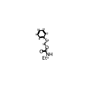 CCNC(=O)OCSc1ccccc1